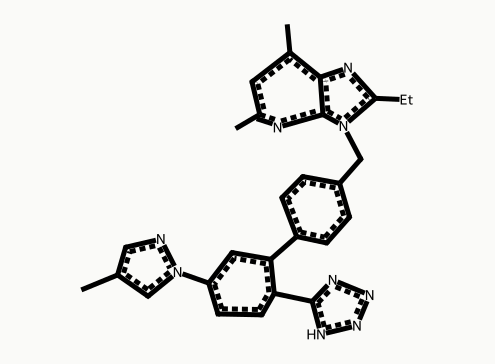 CCc1nc2c(C)cc(C)nc2n1Cc1ccc(-c2cc(-n3cc(C)cn3)ccc2-c2nnn[nH]2)cc1